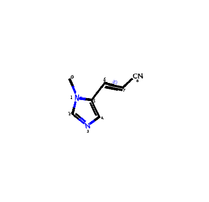 Cn1cncc1/C=C/C#N